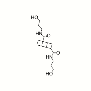 O=C(NCCCO)C12C3C4C1C1C2C3C41C(=O)NCCCO